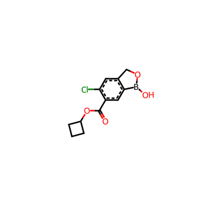 O=C(OC1CCC1)c1cc2c(cc1Cl)COB2O